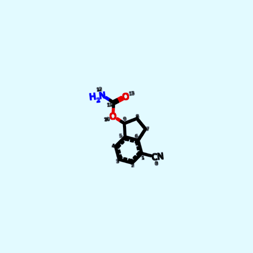 N#Cc1cccc2c1CCC2OC(N)=O